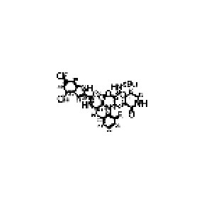 CC(C)(C)NC(=O)C(=O)C(C[C@@H]1CCCNC1=O)NC(=O)[C@H](Cc1cccc(F)c1)NC(=O)c1cc2c(Cl)cc(Cl)cc2[nH]1